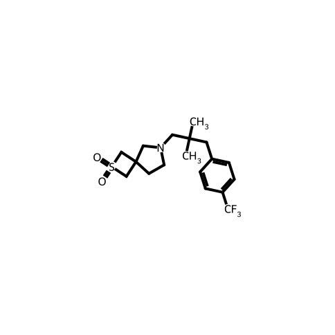 CC(C)(Cc1ccc(C(F)(F)F)cc1)CN1CCC2(C1)CS(=O)(=O)C2